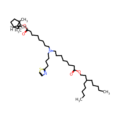 CCCCCC(CCCCC)CCOC(=O)CCCCCCCN(CCCCCCCC(=O)O[C@@H]1C[C@@H]2CC[C@@]1(C)C2(C)C)CCCCc1nccs1